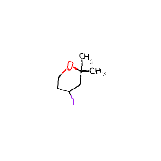 CC1(C)CC(I)CCO1